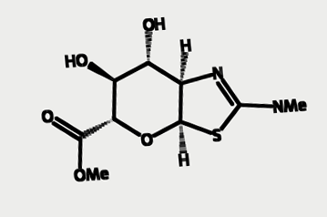 CNC1=N[C@@H]2[C@@H](O)[C@H](O)[C@@H](C(=O)OC)O[C@@H]2S1